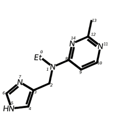 CCN(Cc1c[nH]cn1)c1ccnc(C)n1